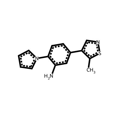 Cc1sncc1-c1ccc(-n2cccc2)c(N)c1